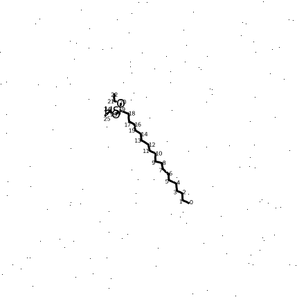 CCCCCCCCCCCCCCCCCCC[SiH](OCC)OCC